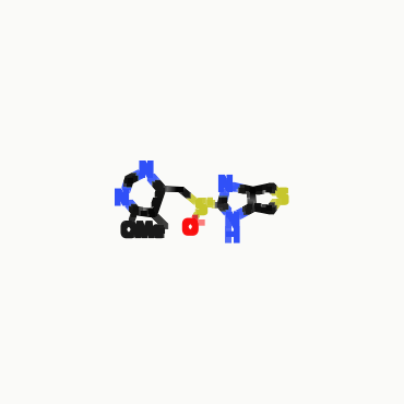 COc1ncnc(C[S+]([O-])c2nc3cscc3[nH]2)c1C